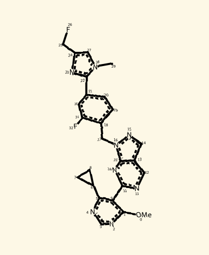 COc1ncnc(C2CC2)c1-c1ncc2cnn(Cc3ccc(-c4nc(CF)cn4C)cc3F)c2n1